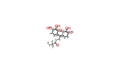 CCC(C)(C)C(=O)CCc1c2ccc(=O)c(O)c-2oc2c(O)c(O)ccc12